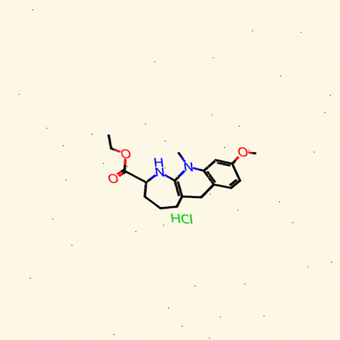 CCOC(=O)C1CCCC2=C(N1)N(C)c1cc(OC)ccc1C2.Cl